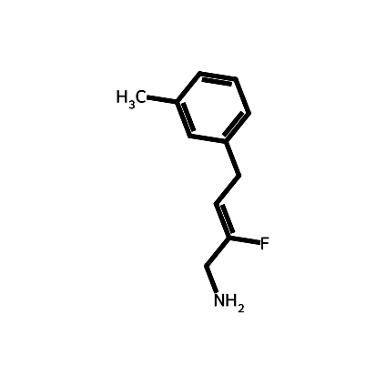 Cc1cccc(CC=C(F)CN)c1